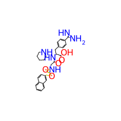 C1CCNCC1.N=C(N)c1ccc(CC(NC(=O)CNS(=O)(=O)c2ccc3ccccc3c2)C(=O)O)cc1